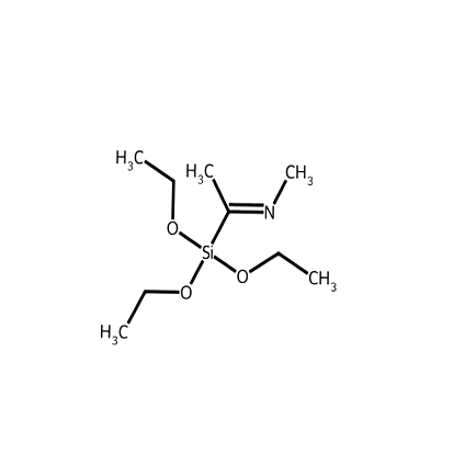 CCO[Si](OCC)(OCC)C(C)=NC